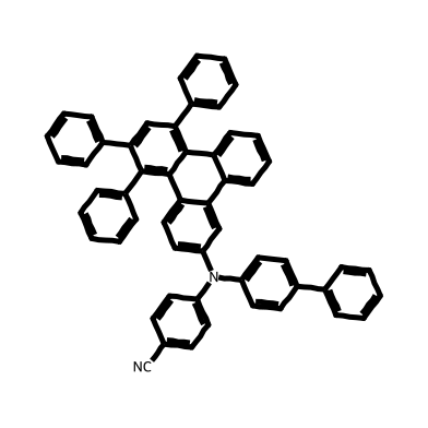 N#Cc1ccc(N(c2ccc(-c3ccccc3)cc2)c2ccc3c(c2)c2ccccc2c2c(-c4ccccc4)cc(-c4ccccc4)c(-c4ccccc4)c32)cc1